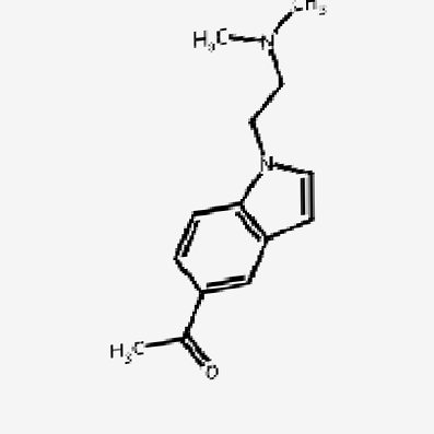 CC(=O)c1ccc2c(ccn2CCN(C)C)c1